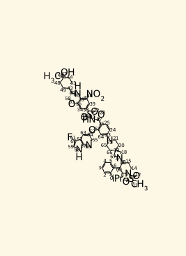 CC(C)c1ccccc1[C@@H]1CN(S(C)(=O)=O)CC[C@@H]1N1CC2(CCN(c3ccc(C(=O)NS(=O)(=O)c4cc5c(c([N+](=O)[O-])c4)N[C@@H]([C@H]4CC[C@](C)(O)CC4)CO5)c(Oc4cnc5[nH]cc(F)c5c4)c3)CC2)C1